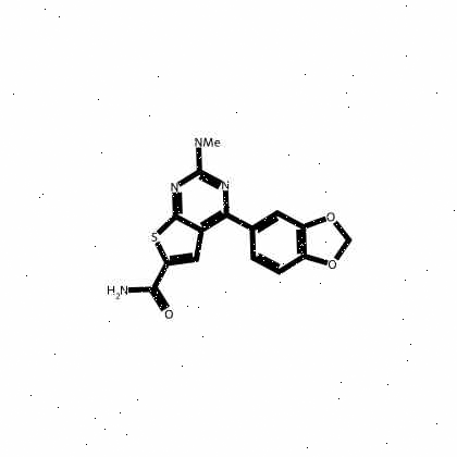 CNc1nc(-c2ccc3c(c2)OCO3)c2cc(C(N)=O)sc2n1